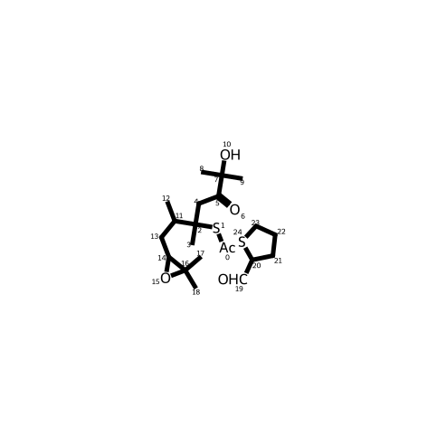 CC(=O)SC(C)(CC(=O)C(C)(C)O)C(C)CC1OC1(C)C.O=CC1CCCS1